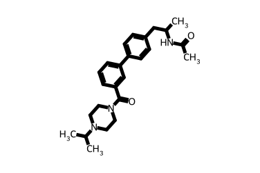 CC(=O)NC(C)Cc1ccc(-c2cccc(C(=O)N3CCN(C(C)C)CC3)c2)cc1